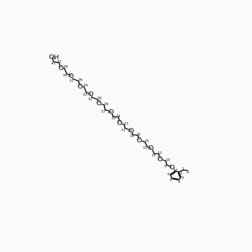 CCc1ccccc1OCCOCCOCCOCCOCCOCCOCCOCCOCCOCCOCCOCCO